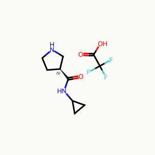 O=C(NC1CC1)[C@H]1CCNC1.O=C(O)C(F)(F)F